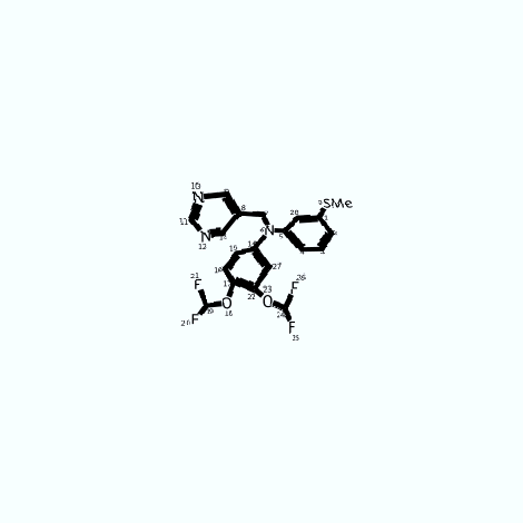 CSc1cccc(N(Cc2cncnc2)c2ccc(OC(F)F)c(OC(F)F)c2)c1